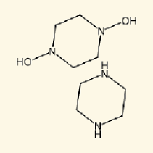 C1CNCCN1.ON1CCN(O)CC1